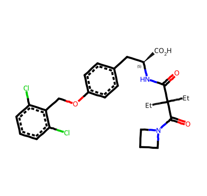 CCC(CC)(C(=O)N[C@@H](Cc1ccc(OCc2c(Cl)cccc2Cl)cc1)C(=O)O)C(=O)N1CCC1